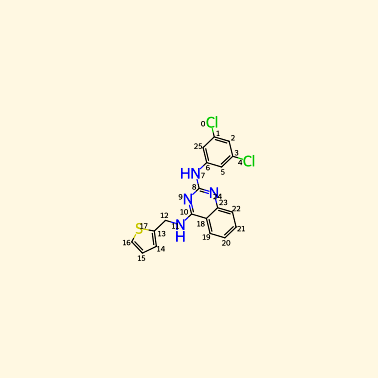 Clc1cc(Cl)cc(Nc2nc(NCc3cccs3)c3ccccc3n2)c1